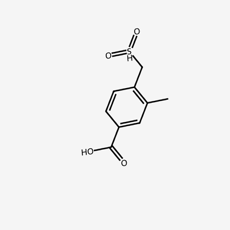 Cc1cc(C(=O)O)ccc1C[SH](=O)=O